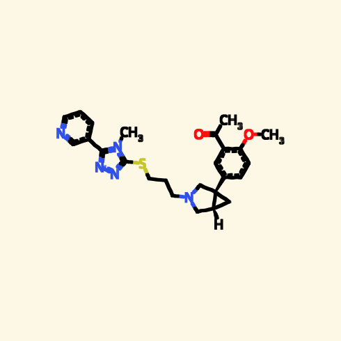 COc1ccc([C@@]23C[C@@H]2CN(CCCSc2nnc(-c4cccnc4)n2C)C3)cc1C(C)=O